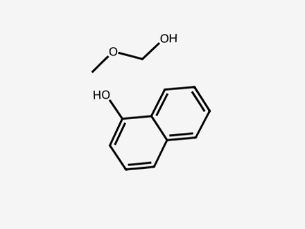 COCO.Oc1cccc2ccccc12